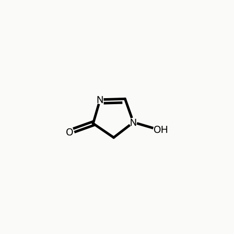 O=C1CN(O)C=N1